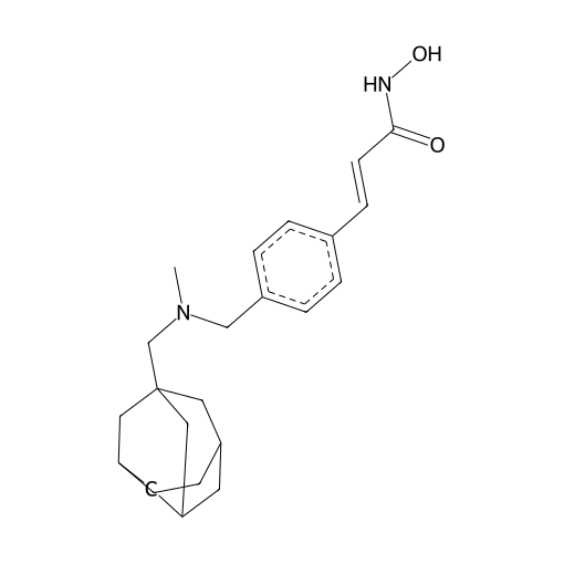 CN(Cc1ccc(/C=C/C(=O)NO)cc1)CC12CC3CCC(CC(C3)C1)C2